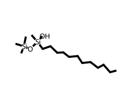 CCCCCCCCCCCC[Si](C)(O)O[Si](C)(C)C